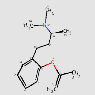 C=C(C)Oc1ccccc1CC[C@H](C)N(C)C